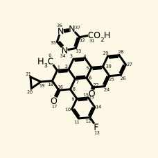 CC1=c2ccc3c(c2C(c2ccc(F)cc2)C(=O)C1C1CC1)C(=O)C=c1ccccc1=3.O=C(O)c1cncnn1